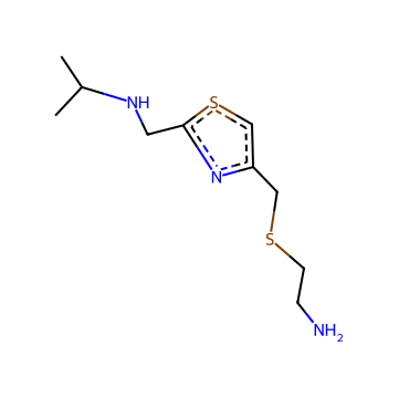 CC(C)NCc1nc(CSCCN)cs1